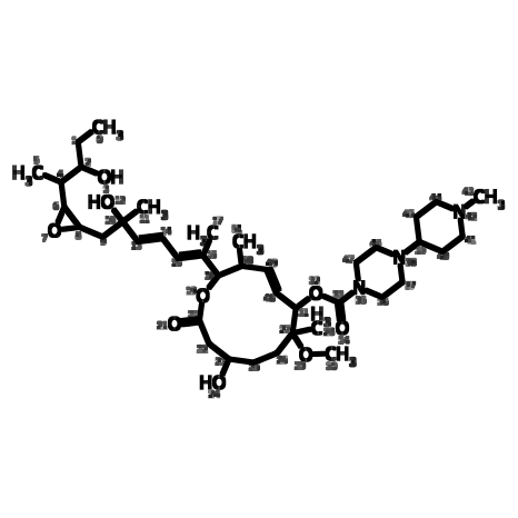 CCC(O)C(C)C1OC1CC(C)(O)/C=C/C=C(\C)C1OC(=O)CC(O)CCC(C)(OC)C(OC(=O)N2CCN(C3CCN(C)CC3)CC2)/C=C/C1C